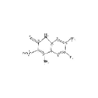 CCOC(=O)c1c(N)c2cc(F)c(C(F)(F)F)cc2[nH]c1=O